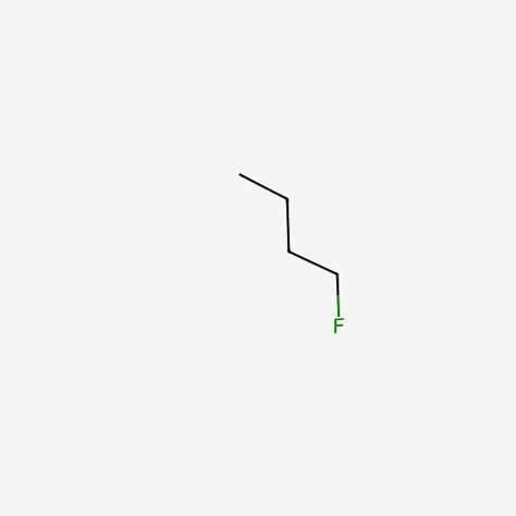 CCCCF